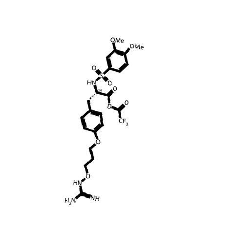 COc1ccc(S(=O)(=O)N[C@@H](Cc2ccc(OCCCONC(=N)N)cc2)C(=O)OC(=O)C(F)(F)F)cc1OC